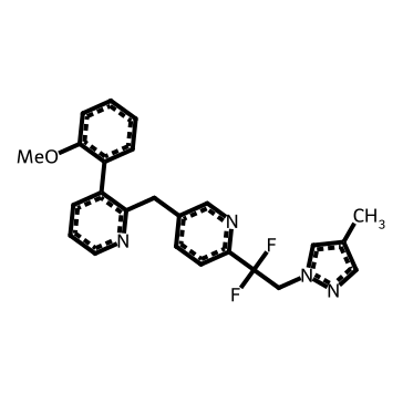 COc1ccccc1-c1cccnc1Cc1ccc(C(F)(F)Cn2cc(C)cn2)nc1